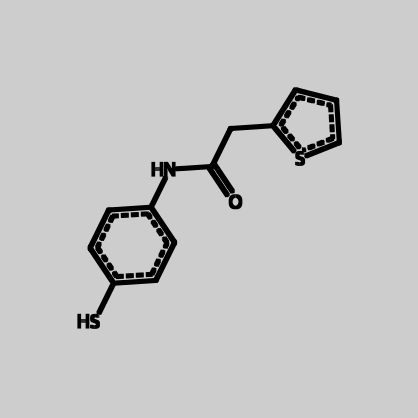 O=C(Cc1cccs1)Nc1ccc(S)cc1